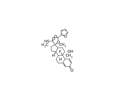 C[C@H]1C[C@H]2[C@@H]3CCC4=CC(=O)C=C[C@]4(C)[C@@]3(F)[C@@H](O)C[C@]2(C)[C@@]1(OC(=O)c1ccco1)C(=O)S